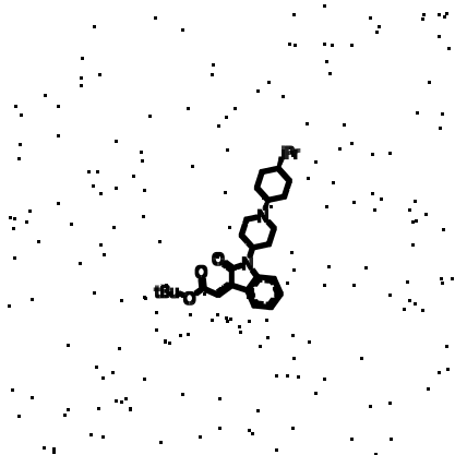 CC(C)[C@H]1CC[C@@H](N2CCC(N3C(=O)C(=CC(=O)OC(C)(C)C)c4ccccc43)CC2)CC1